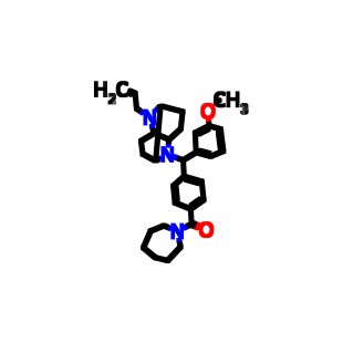 C=CCN1C2CCC3C1CCC2N3C(c1ccc(C(=O)N2CCCCCC2)cc1)c1cccc(OC)c1